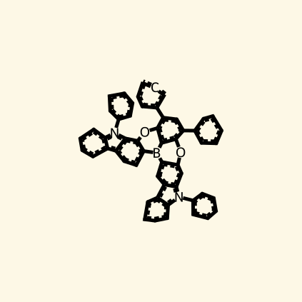 c1ccc(-c2cc(-c3ccccc3)c3c4c2Oc2cc5c(cc2B4c2ccc4c6ccccc6n(-c6ccccc6)c4c2O3)c2ccccc2n5-c2ccccc2)cc1